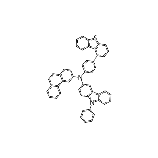 c1ccc(-n2c3ccccc3c3cc(N(c4ccc(-c5cccc6sc7ccccc7c56)cc4)c4ccc5ccc6ccccc6c5c4)ccc32)cc1